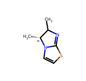 CC1N=C2SC=CN2[C@@H]1C